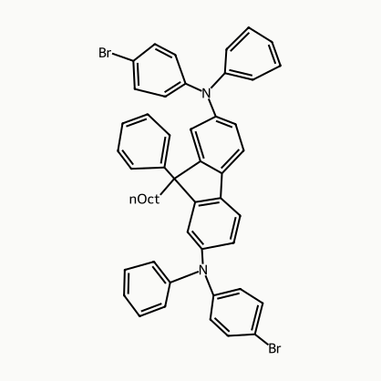 CCCCCCCCC1(c2ccccc2)c2cc(N(c3ccccc3)c3ccc(Br)cc3)ccc2-c2ccc(N(c3ccccc3)c3ccc(Br)cc3)cc21